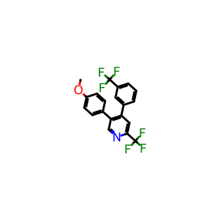 COc1ccc(-c2cnc(C(F)(F)F)cc2-c2cccc(C(F)(F)F)c2)cc1